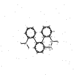 CP(C)c1ccccc1-c1cccc(N)c1-c1ccccc1P(C)C